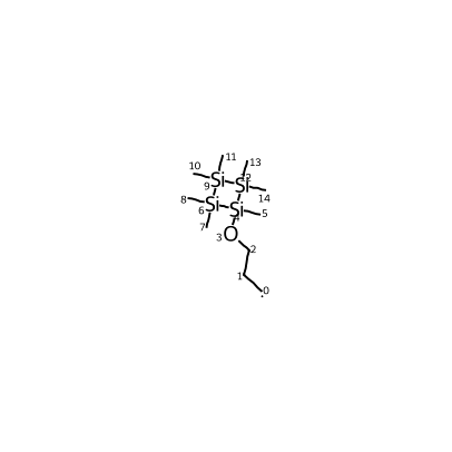 [CH2]CCO[Si]1(C)[Si](C)(C)[Si](C)(C)[Si]1(C)C